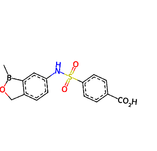 CB1OCc2ccc(NS(=O)(=O)c3ccc(C(=O)O)cc3)cc21